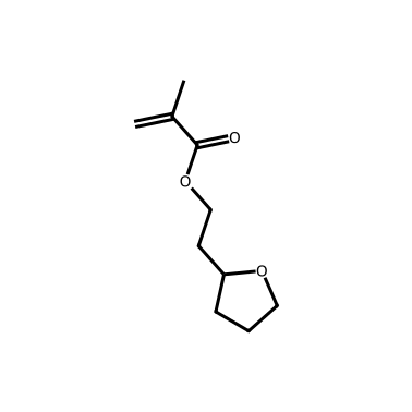 C=C(C)C(=O)OCCC1CCCO1